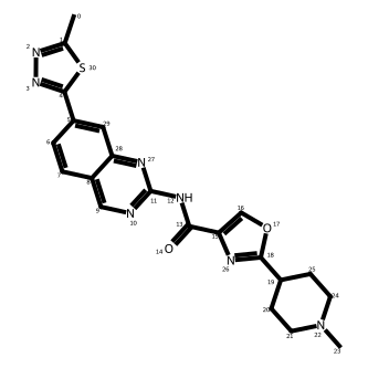 Cc1nnc(-c2ccc3cnc(NC(=O)c4coc(C5CCN(C)CC5)n4)nc3c2)s1